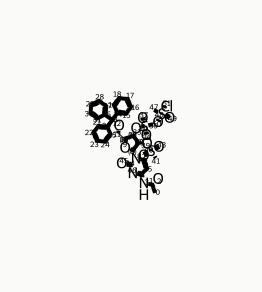 CC(=O)Nc1ccn([C@@H]2O[C@H](COC(c3ccccc3)(c3ccccc3)c3ccccc3)[C@@H](OS(C)(=O)=O)[C@H]2OS(C)(=O)=O)c(=O)n1.CS(=O)(=O)Cl